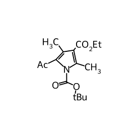 CCOC(=O)c1c(C)c(C(C)=O)n(C(=O)OC(C)(C)C)c1C